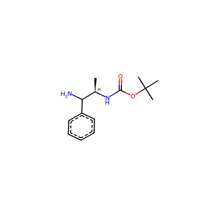 C[C@@H](NC(=O)OC(C)(C)C)C(N)c1ccccc1